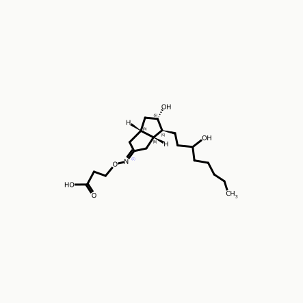 CCCCCC(O)CC[C@H]1[C@@H]2C/C(=N/OCCC(=O)O)C[C@@H]2C[C@@H]1O